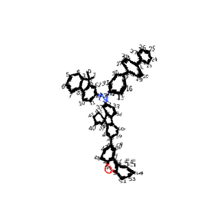 CC1(C)c2ccccc2-c2ccc(N(c3ccc(-c4ccc(-c5ccccc5)cc4)cc3)c3ccc4c(c3)C3(CCCC3)c3cc(-c5ccc6oc7ccccc7c6c5)ccc3-4)cc21